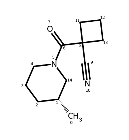 C[C@@H]1CCCN(C(=O)C2(C#N)CCC2)C1